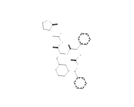 O=C[C@H](C[C@@H]1CCNC1=O)NC(=O)[C@H](CC1CCCCC1)NC(=O)[C@@H](NC(=O)OCc1ccccc1)c1ccccc1